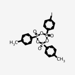 Cc1ccc(P2(=O)OP(=O)(c3ccc(C)cc3)OP(=O)(c3ccc(I)cc3)O2)cc1